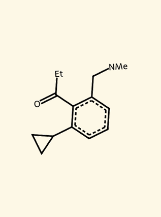 CCC(=O)c1c(CNC)cccc1C1CC1